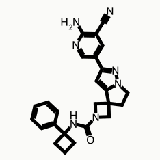 N#Cc1cc(-c2cc3n(n2)CCC32CN(C(=O)NC3(c4ccccc4)CCC3)C2)cnc1N